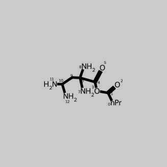 CCCC(=O)OC(=O)C(N)(N)CC(N)N